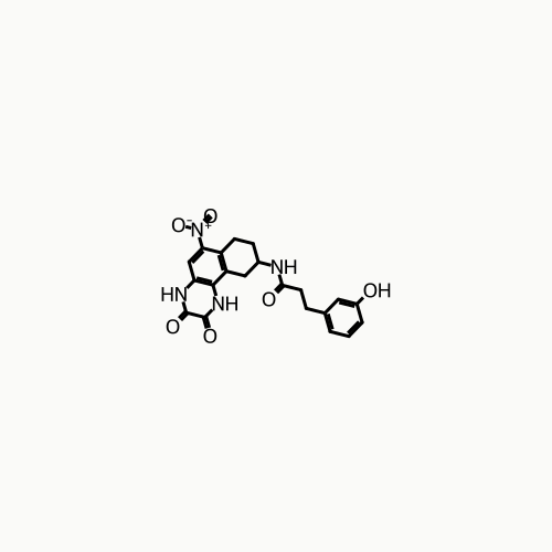 O=C(CCc1cccc(O)c1)NC1CCc2c([N+](=O)[O-])cc3[nH]c(=O)c(=O)[nH]c3c2C1